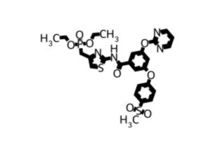 CCOP(=O)(Cc1csc(NC(=O)c2cc(Oc3ccc(S(C)(=O)=O)cc3)cc(Oc3ncccn3)c2)n1)OCC